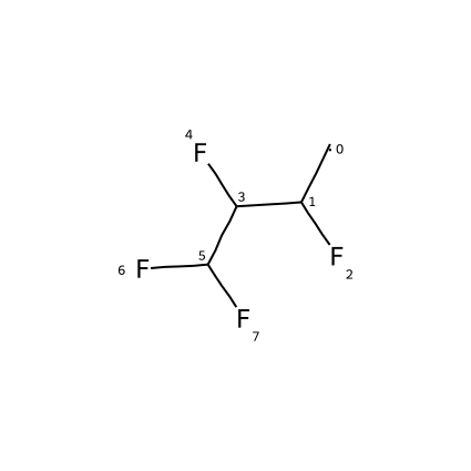 [CH2]C(F)C(F)C(F)F